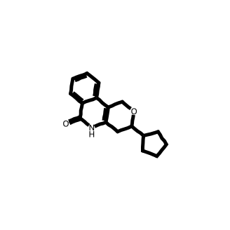 O=c1[nH]c2c(c3ccccc13)COC(C1CCCC1)C2